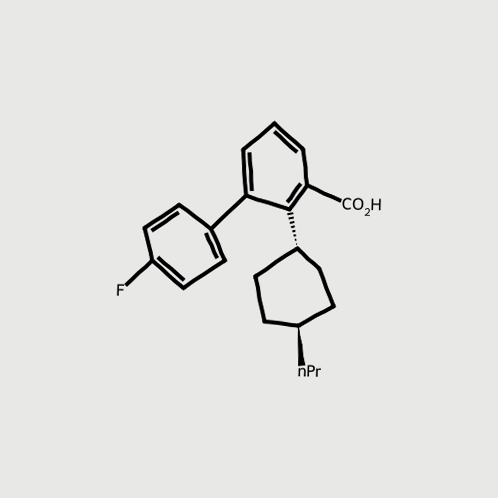 CCC[C@H]1CC[C@H](c2c(C(=O)O)cccc2-c2ccc(F)cc2)CC1